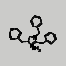 N.c1ccc(CC2=NC(Cc3ccccc3)CN2Cc2ccccc2)cc1